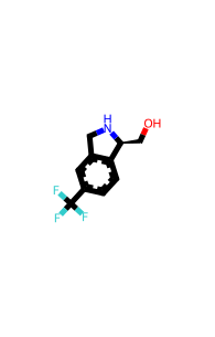 OC[C@@H]1NCc2cc(C(F)(F)F)ccc21